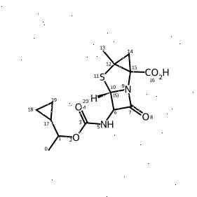 CC(OC(=O)NC1C(=O)N2[C@H]1SC1(C)CC21C(=O)O)C1CC1